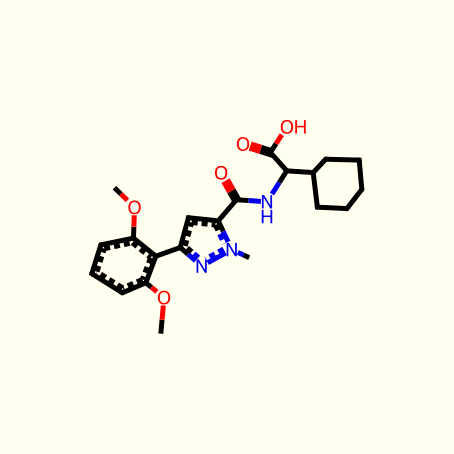 COc1cccc(OC)c1-c1cc(C(=O)NC(C(=O)O)C2CCCCC2)n(C)n1